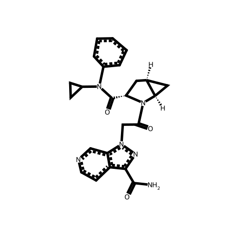 NC(=O)c1nn(CC(=O)N2[C@@H]3C[C@@H]3C[C@H]2C(=O)N(c2ccccc2)C2CC2)c2cnccc12